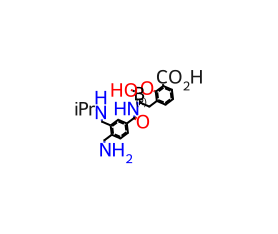 CC(C)NCc1cc(C(=O)N[C@H]2Cc3cccc(C(=O)O)c3OB2O)ccc1CN